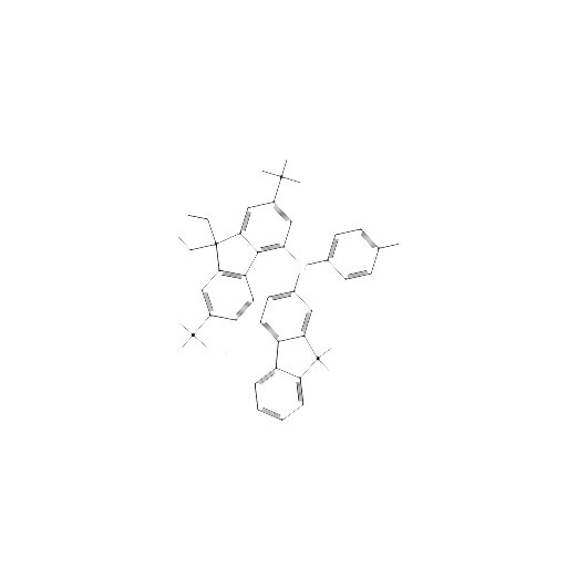 CCC1(CC)c2cc(C(C)(C)C)ccc2-c2c(N(c3ccc(Br)cc3)c3ccc4c(c3)C(C)(C)c3ccccc3-4)cc(C(C)(C)C)cc21